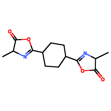 CC1N=C(C2CCC(C3=NC(C)C(=O)O3)CC2)OC1=O